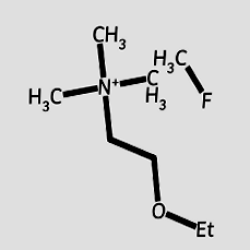 CCOCC[N+](C)(C)C.CF